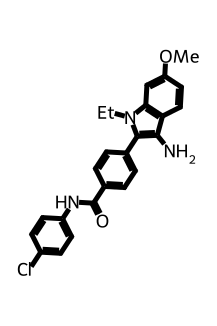 CCn1c(-c2ccc(C(=O)Nc3ccc(Cl)cc3)cc2)c(N)c2ccc(OC)cc21